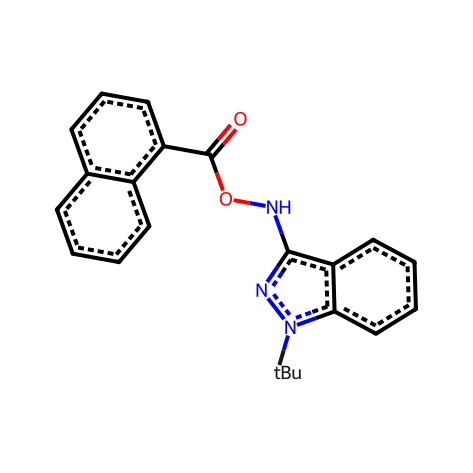 CC(C)(C)n1nc(NOC(=O)c2cccc3ccccc23)c2ccccc21